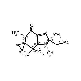 CC(=O)OC[C@]1(C)C=C2C(=O)[C@@H](C)C3(CC3)[C@@]3(C)O[C@@]23[C@H]1O